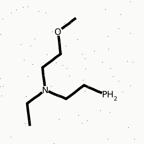 CCN(CCP)CCOC